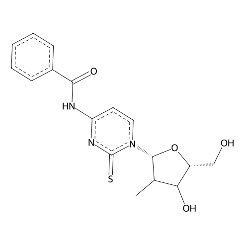 CC1C(O)[C@@H](CO)O[C@H]1n1ccc(NC(=O)c2ccccc2)nc1=S